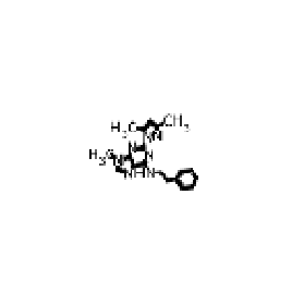 Cc1cc(C)n(-c2nc(NCCc3ccccc3)c3ncn(C)c3n2)n1